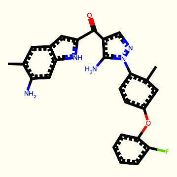 Cc1cc2cc(C(=O)c3cnn(-c4ccc(Oc5ccccc5F)cc4C)c3N)[nH]c2cc1N